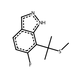 CSC(C)(C)c1c(F)ccc2cn[nH]c12